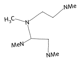 CNCCN(C)C(CNC)NC